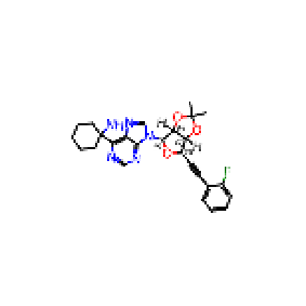 CC1(C)O[C@@H]2[C@H](O1)[C@@H](C#Cc1ccccc1F)O[C@H]2n1cnc2c(C3(N)CCCCC3)ncnc21